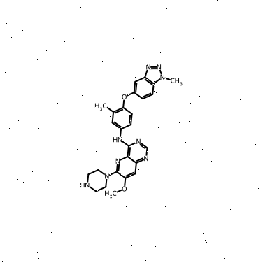 COc1cc2ncnc(Nc3ccc(Oc4ccc5c(c4)nnn5C)c(C)c3)c2nc1N1CCNCC1